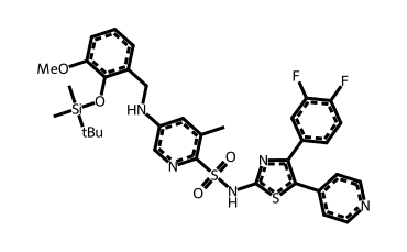 COc1cccc(CNc2cnc(S(=O)(=O)Nc3nc(-c4ccc(F)c(F)c4)c(-c4ccncc4)s3)c(C)c2)c1O[Si](C)(C)C(C)(C)C